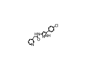 O=C(Cc1cccnc1)Nc1cc(-c2ccc(Cl)cc2)[nH]n1